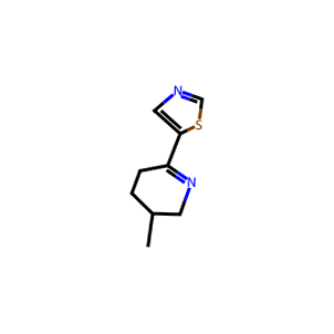 CC1CCC(c2cncs2)=NC1